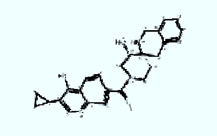 O=C(c1ccc2c(O)c(C3CC3)cnc2c1)N1CC[C@]2(Cc3ccccc3CN2)[C@H](O)C1